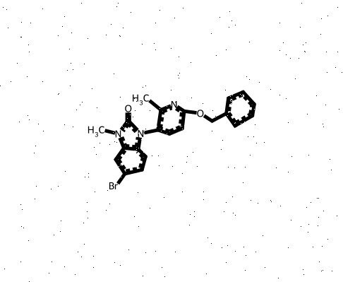 Cc1nc(OCc2ccccc2)ccc1-n1c(=O)n(C)c2cc(Br)ccc21